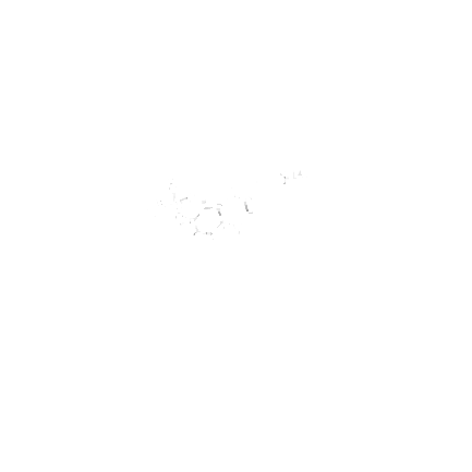 CC(=O)NCCC1=COc2ccc(OS(=O)(=O)C(F)(F)F)cc2O1